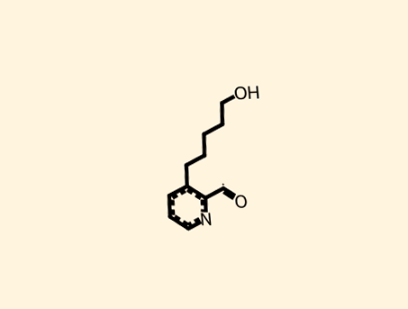 O=[C]c1ncccc1CCCCCO